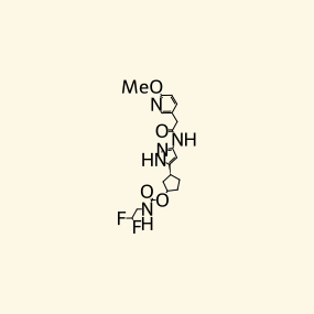 COc1ccc(CC(=O)Nc2cc([C@H]3CC[C@@H](OC(=O)NCC(F)F)C3)[nH]n2)cn1